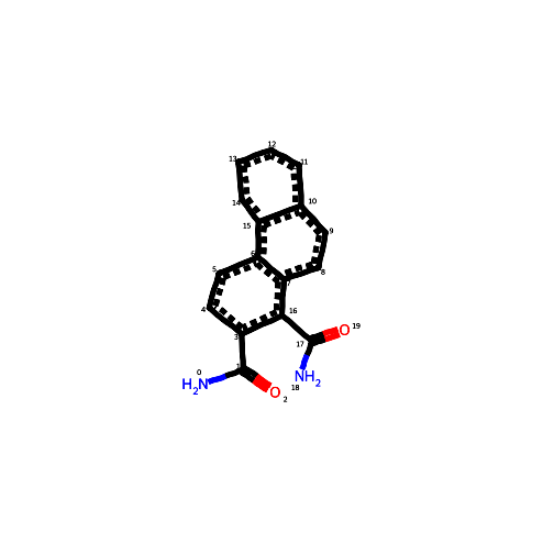 NC(=O)c1ccc2c(ccc3ccccc32)c1C(N)=O